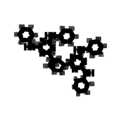 c1ccc(Nc2nc(Nc3ccccc3)nc(C3CC4CC(c5nc(Nc6ccccc6)nc(Nc6ccccc6)n5)C3C4)n2)cc1